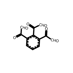 O=CC(=O)c1cccc(C(=O)C=O)c1C(=O)C=O